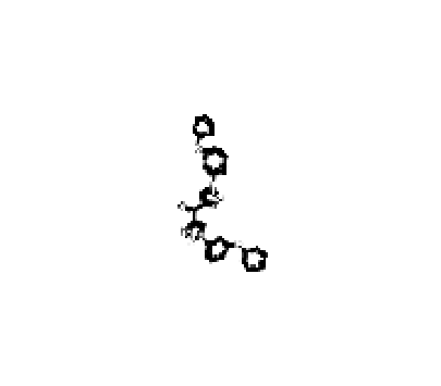 O=C(c1cn(-c2cccc(Oc3ccccc3)c2)nn1)c1cn(-c2cccc(Oc3ccccc3)c2)nn1